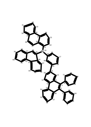 c1ccc(-c2c(-c3ccccc3)c3cc(-c4cccc(N(c5cccc6c5ccc5ccccc56)c5cc6ccccc6c6ccccc56)c4)ccc3c3ccccc23)cc1